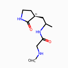 CC(C[C@@H]1CCNC1=O)NC(=O)CNC=O